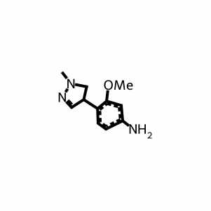 COc1cc(N)ccc1C1C=NN(C)C1